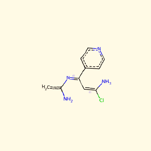 C=C(N)/N=C(\C=C(/N)Cl)c1ccncc1